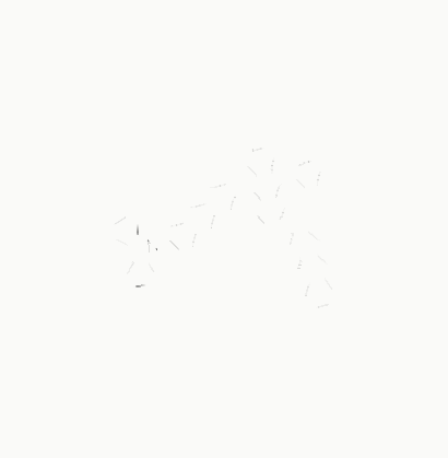 c1ccc(-c2c3ccccc3c(-c3ccc4cc5cc(-n6c7ccccc7c7ccccc76)ccc5cc4c3)c3ccc(-c4ccc5cc6ccccc6cc5c4)cc23)cc1